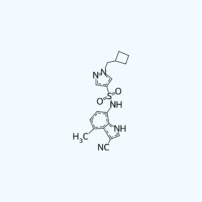 Cc1ccc(NS(=O)(=O)c2cnn(CC3CCC3)c2)c2[nH]cc(C#N)c12